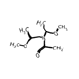 [CH2]C(=O)N(C(C)OC)C(C)OC